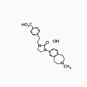 CN1CCc2ccc(N3CCN(CCc4ccc(C(=O)O)cc4)C3=O)cc2CC1.Cl